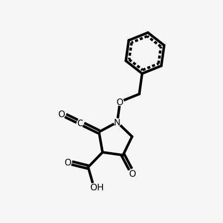 O=C=C1C(C(=O)O)C(=O)CN1OCc1ccccc1